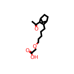 CC(=O)C1C2CCC(C2)C1CCCCCOCC(=O)O